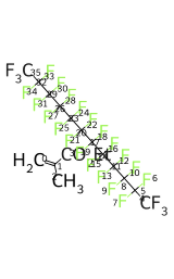 C=C(C)C(=O)OCC.FC(F)(F)C(F)(F)C(F)(F)C(F)(F)C(F)(F)C(F)(F)C(F)(F)C(F)(F)C(F)(F)C(F)(F)C(F)(F)C(F)(F)F